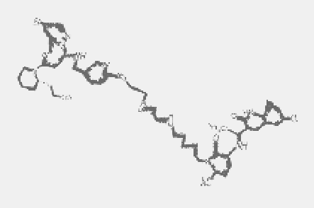 CCc1cnn2c(NCc3ccc(OCCOCCOCCCCCn4c(C#N)ccc(N[C@@H](C)c5cc6cc(Cl)ccc6[nH]c5=O)c4=O)nc3)cc(N3CCCC[C@H]3CCO)nc12